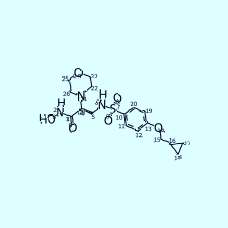 O=C(NO)[C@H](CNS(=O)(=O)c1ccc(OCC2CC2)cc1)N1CCOCC1